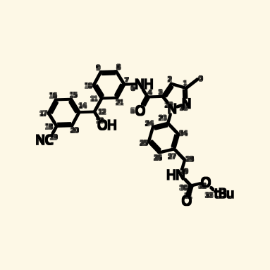 Cc1cc(C(=O)Nc2cccc(C(O)c3cccc(C#N)c3)c2)n(-c2cccc(CNC(=O)OC(C)(C)C)c2)n1